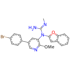 CN=C(N)N(c1cc2ccccc2o1)c1cc(-c2ccc(Br)cc2)cnc1OC